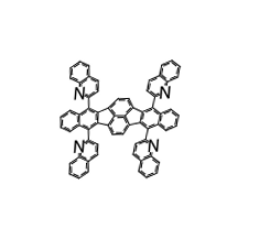 c1ccc2nc(-c3c4c(c(-c5ccc6ccccc6n5)c5ccccc35)-c3ccc5c6c(ccc-4c36)-c3c-5c(-c4ccc5ccccc5n4)c4ccccc4c3-c3ccc4ccccc4n3)ccc2c1